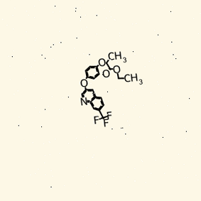 CCOC(=O)C(C)Oc1ccc(Oc2cnc3cc(C(F)(F)F)ccc3c2)cc1